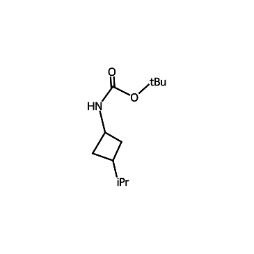 CC(C)C1CC(NC(=O)OC(C)(C)C)C1